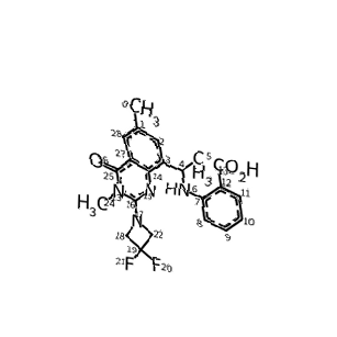 Cc1cc(C(C)Nc2ccccc2C(=O)O)c2nc(N3CC(F)(F)C3)n(C)c(=O)c2c1